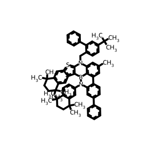 Cc1cc2c3c(c1)N(Cc1ccc(C(C)(C)C)cc1-c1ccccc1)c1sc4cc5c(cc4c1B3N(c1ccc3c(c1)C(C)(C)CCC3(C)C)c1cc(-c3ccccc3)ccc1-2)C(C)(C)CCC5(C)C